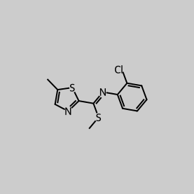 CS/C(=N\c1ccccc1Cl)c1ncc(C)s1